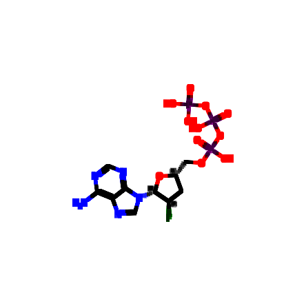 Nc1ncnc2c1ncn2[C@@H]1O[C@H](COP(=O)(O)OP(=O)(O)OP(=O)(O)O)C[C@H]1F